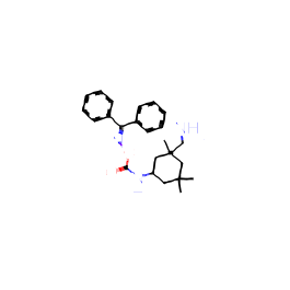 CC1(C)CC(NC(=O)ON=C(c2ccccc2)c2ccccc2)CC(C)(CN)C1